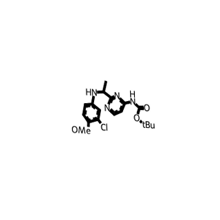 COc1ccc(NC(C)c2nccc(NC(=O)OC(C)(C)C)n2)cc1Cl